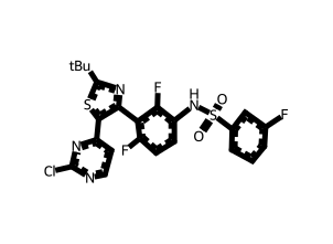 CC(C)(C)c1nc(-c2c(F)ccc(NS(=O)(=O)c3cccc(F)c3)c2F)c(-c2ccnc(Cl)n2)s1